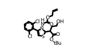 C=CCOC(=O)NN1C(c2c(Cl)cccc2Cl)=CSC1C(CCO)C(=O)OC(C)(C)C